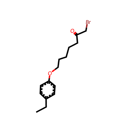 CCc1ccc(OCCCCCC(=O)CBr)cc1